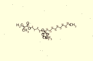 C=C(C)C(=O)OCCCCO[Si](CCCCCCCCCC)(OC)OC